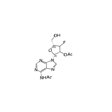 CC(=O)Nc1ncnc2c1ncn2[C@@H]1O[C@H](CO)C(F)C1OC(C)=O